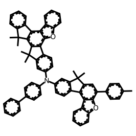 Cc1ccc(-c2cc3c(c4c2oc2ccccc24)-c2ccc(N(c4ccc(-c5ccccc5)cc4)c4ccc5c(c4)C(C)(C)c4c6c(c7c(oc8ccccc87)c4-5)-c4ccccc4C6(C)C)cc2C3(C)C)cc1